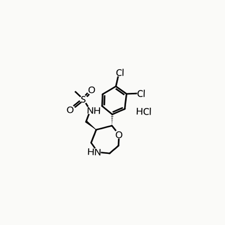 CS(=O)(=O)NC[C@@H]1CNCCO[C@H]1c1ccc(Cl)c(Cl)c1.Cl